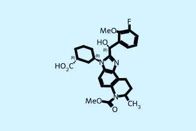 COC(=O)N1c2ccc3c(nc([C@H](O)c4cccc(F)c4OC)n3[C@@H]3CCC[C@@H](C(=O)O)C3)c2CCC1C